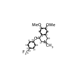 COc1cc2c(cc1OC)C(Oc1ccc(C(F)(F)F)cc1)CN(C)C2